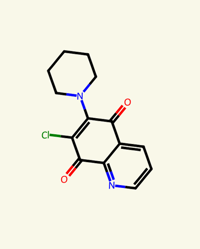 O=C1C(N2CCCCC2)=C(Cl)C(=O)c2ncccc21